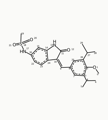 COc1c(C(C)C)cc(C=C2C(=O)Nc3cc(NS(C)(=O)=O)ccc32)cc1C(C)C